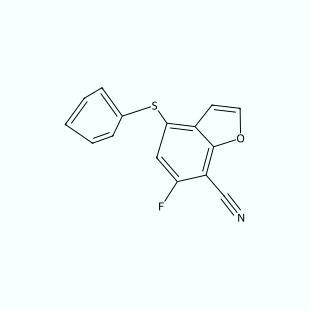 N#Cc1c(F)cc(Sc2ccccc2)c2ccoc12